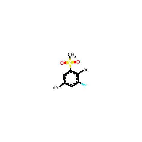 CC(=O)c1c(F)cc(C(C)C)cc1S(C)(=O)=O